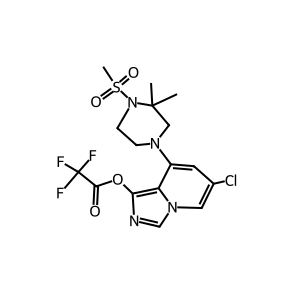 CC1(C)CN(c2cc(Cl)cn3cnc(OC(=O)C(F)(F)F)c23)CCN1S(C)(=O)=O